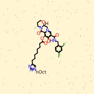 CCCCCCCCn1cc(CCCCCCCC(=O)Oc2c3n(cc(C(=O)NCc4ccc(F)cc4F)c2=O)C[C@@H]2OCC[C@@H](C)N2C3=O)nn1